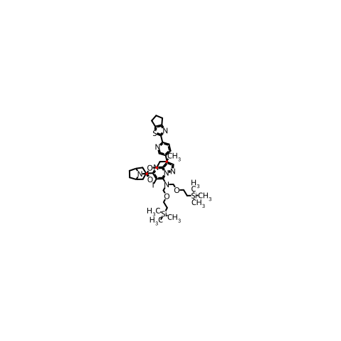 CCCCOC(=O)N1C2CCC1CC(c1nc3c(-c4ccc(-c5nc6c(s5)CCC6)nc4)cnn3c(N(COCC[Si](C)(C)C)COCC[Si](C)(C)C)c1I)C2